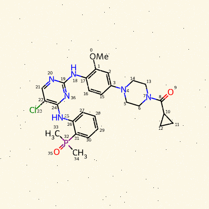 COc1cc(N2CCN(C(=O)C3CC3)CC2)ccc1Nc1ncc(Cl)c(Nc2ccccc2P(C)(C)=O)n1